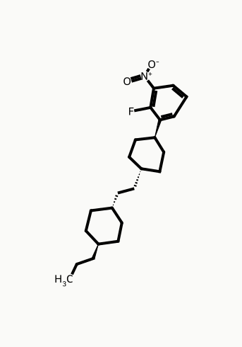 CCC[C@H]1CC[C@H](CC[C@H]2CC[C@H](c3cccc([N+](=O)[O-])c3F)CC2)CC1